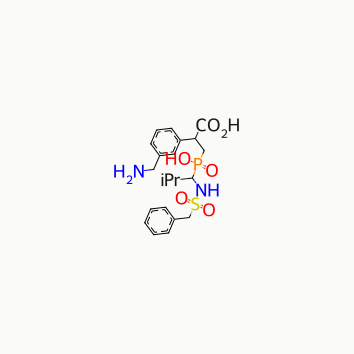 CC(C)C(NS(=O)(=O)Cc1ccccc1)P(=O)(O)CC(C(=O)O)c1cccc(CN)c1